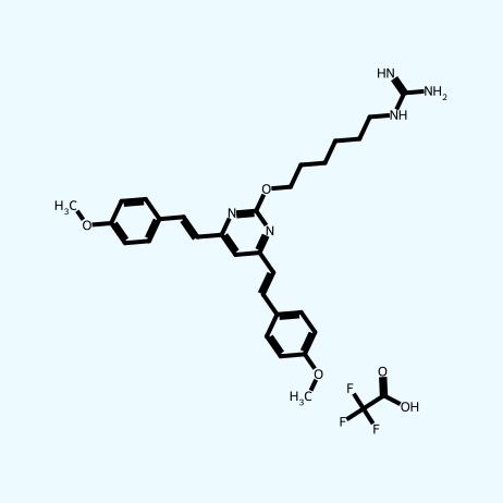 COc1ccc(C=Cc2cc(C=Cc3ccc(OC)cc3)nc(OCCCCCCNC(=N)N)n2)cc1.O=C(O)C(F)(F)F